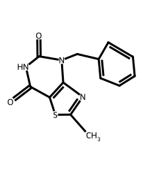 Cc1nc2c(s1)c(=O)[nH]c(=O)n2Cc1ccccc1